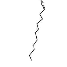 CCC[CH]CCCCCCC=C=O